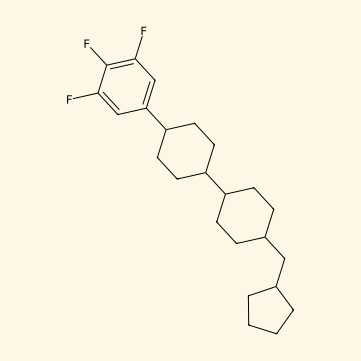 Fc1cc(C2CCC(C3CCC(CC4CCCC4)CC3)CC2)cc(F)c1F